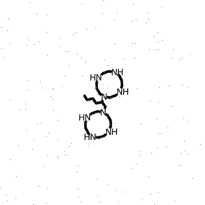 CCCCC(CN1CCCNCCNCCCNCC1)N1CCCNCCNCCCNCC1